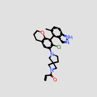 C=CC(=O)N1CC2(CCN(c3cc4c(c(-c5c(C)ccc6[nH]ncc56)c3Cl)OCCC4)C2)C1